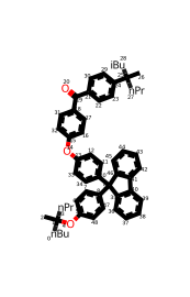 CCCCC(C)(CCC)Oc1ccc(C2(c3ccc(Oc4ccc(C(=O)c5ccc(C(C)(CCC)C(C)CC)cc5)cc4)cc3)c3ccccc3-c3ccccc32)cc1